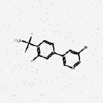 CC(F)(F)c1ccc(-c2cncc(Br)c2)cc1F